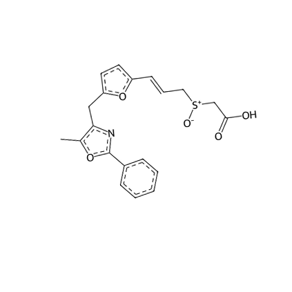 Cc1oc(-c2ccccc2)nc1Cc1ccc(C=CC[S+]([O-])CC(=O)O)o1